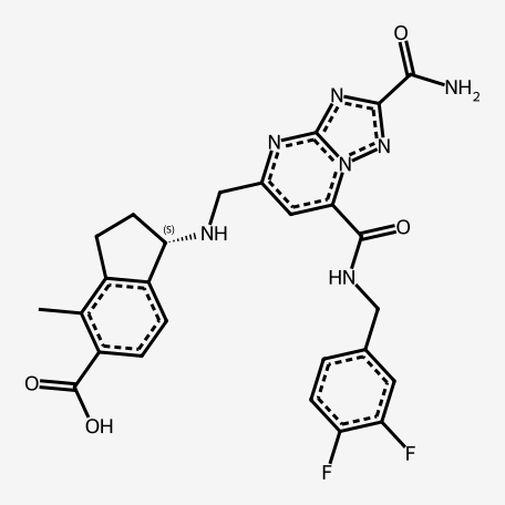 Cc1c(C(=O)O)ccc2c1CC[C@@H]2NCc1cc(C(=O)NCc2ccc(F)c(F)c2)n2nc(C(N)=O)nc2n1